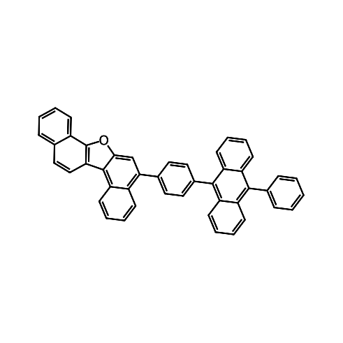 c1ccc(-c2c3ccccc3c(-c3ccc(-c4cc5oc6c7ccccc7ccc6c5c5ccccc45)cc3)c3ccccc23)cc1